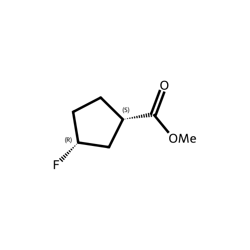 COC(=O)[C@H]1CC[C@@H](F)C1